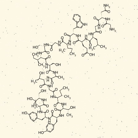 CC[C@H](C)[C@H](NC(=O)CNC(=O)[C@@H](NC(=O)[C@H](C)NC(=O)[C@H](CO)NC(=O)[C@@H](NC(=O)[C@H](CO)NC(=O)CNC(=O)[C@@H](NC(=O)[C@H](Cc1c[nH]c2ccccc12)NC(=O)[C@H](CCC(=O)O)NC(=O)[C@H](CC(C)C)NC(=O)CNC(=O)[C@H](CC(N)=O)NC(=O)CN)[C@@H](C)CC)[C@@H](C)CC)[C@@H](C)O)C(=O)N[C@H](C(=O)N[C@@H](Cc1ccc(O)cc1)C(=O)N[C@@H](Cc1ccc(O)cc1)C(=O)N[C@@H](C)C(=O)N[C@@H](CO)C(=O)O)[C@@H](C)O